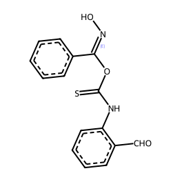 O=Cc1ccccc1NC(=S)O/C(=N/O)c1ccccc1